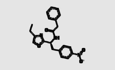 CCc1coc([C@H](Cc2ccc([N+](=O)[O-])cc2)NC(=O)Cc2ccccc2)n1